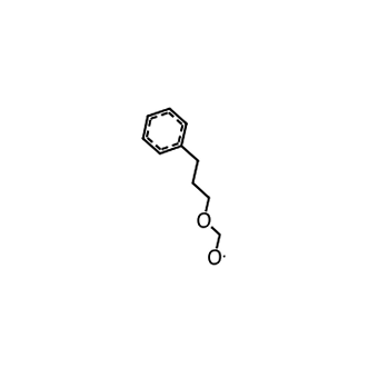 [O]COCCCc1ccccc1